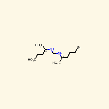 CC(C)CCC[C@H](NCN[C@@H](CCC(=O)O)C(=O)O)C(=O)O